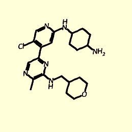 Cc1ncc(-c2cc(NC3CCC(N)CC3)ncc2Cl)nc1NCC1CCOCC1